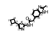 Cc1nc2ccc(CC(=O)Nc3ncc(C4CCC4)s3)cc2[nH]1